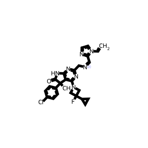 C=Cn1ccnc1/C=N\Cc1nc2c(c(N3CC(F)(C4CC4)C3)n1)C(C)(c1ccc(Cl)cc1)C(=O)N2